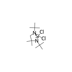 CC(C)(C)N1CC(C)(C)N(C(C)(C)C)[Si]1(Cl)Cl